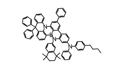 CCCCc1ccc(N(c2ccccc2)c2ccc3c(c2)N(c2ccc4c(c2)C(C)(C)CCC4(C)C)B2c4cccc5c4N(c4ccccc4C5(c4ccccc4)c4ccccc4)c4cc(-c5ccccc5)cc-3c42)cc1